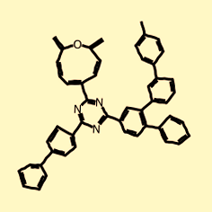 C=c1cccc(-c2nc(-c3ccc(-c4ccccc4)cc3)nc(-c3ccc(-c4ccccc4)c(-c4cccc(-c5ccc(C)cc5)c4)c3)n2)ccc(=C)o1